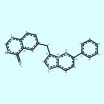 O=c1[nH]cnc2ccc(Cc3cnc4ccc(-c5ccccc5)nn34)cc12